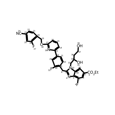 CCOC(=O)c1cc(F)c2nc(Cc3ccc(-c4cccc(OCc5ccc(C#N)cc5F)n4)cc3F)n(CC(O)CCO)c2c1